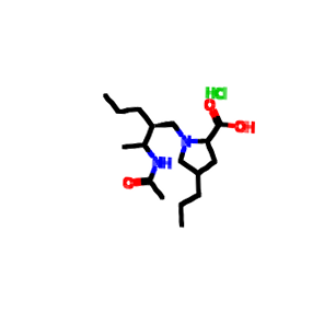 CCCC1CC(C(=O)O)N(C[C@H](CCC)C(C)NC(C)=O)C1.Cl